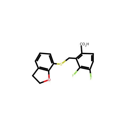 O=C(O)c1ccc(F)c(F)c1CSc1cccc2c1OCC2